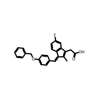 CC1=C(CC(=O)O)c2cc(F)ccc2/C1=C\c1ccc(OCc2ccccc2)cc1